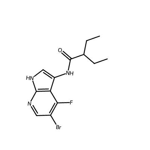 CCC(CC)C(=O)Nc1c[nH]c2ncc(Br)c(F)c12